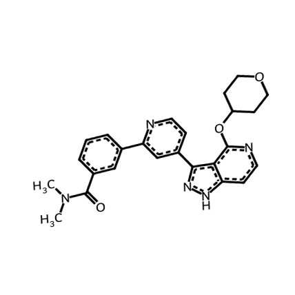 CN(C)C(=O)c1cccc(-c2cc(-c3n[nH]c4ccnc(OC5CCOCC5)c34)ccn2)c1